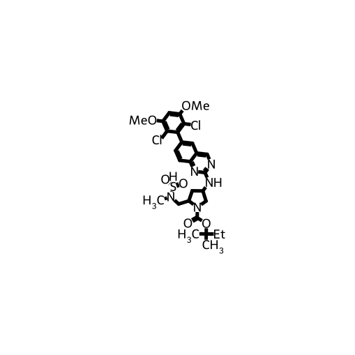 CCC(C)(C)OC(=O)N1CC(Nc2ncc3cc(-c4c(Cl)c(OC)cc(OC)c4Cl)ccc3n2)CC1CN(C)[SH](=O)=O